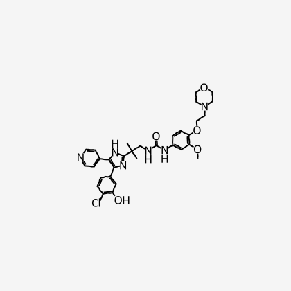 COc1cc(NC(=O)NCC(C)(C)c2nc(-c3ccc(Cl)c(O)c3)c(-c3ccncc3)[nH]2)ccc1OCCN1CCOCC1